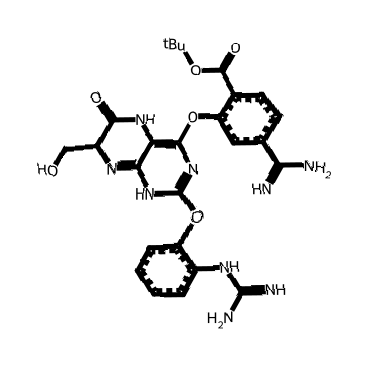 CC(C)(C)OC(=O)c1ccc(C(=N)N)cc1OC1=C2NC(=O)C(CO)N=C2NC(Oc2ccccc2NC(=N)N)=N1